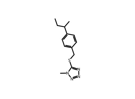 CCC(C)c1ccc(CSc2nnnn2C)cc1